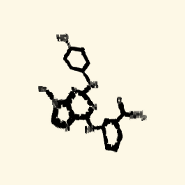 CCn1cnc2c(Nc3cccc(C(N)=O)c3)nc(N[C@H]3CC[C@H](O)CC3)nc21